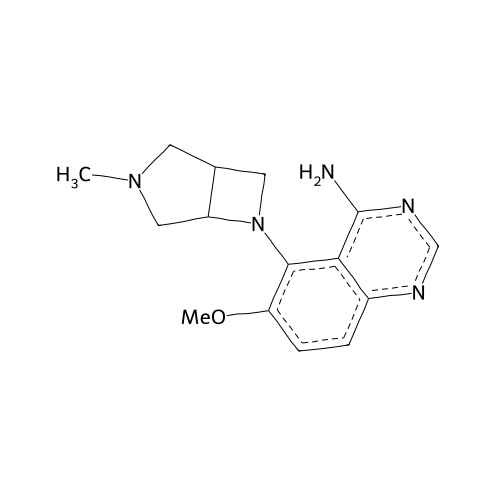 COc1ccc2ncnc(N)c2c1N1CC2CN(C)CC21